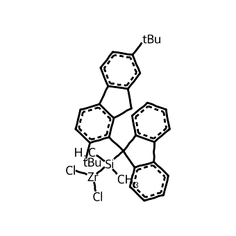 CC(C)(C)c1ccc2c(c1)Cc1c-2ccc(C(C)(C)C)c1C1([Si](C)(C)[Zr]([Cl])[Cl])c2ccccc2-c2ccccc21